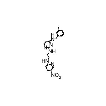 Cc1cccc(CNc2ccnc(NCCNc3ccc([N+](=O)[O-])cn3)n2)c1